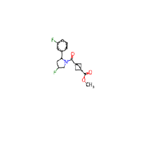 COC(=O)C12CC(C(=O)N3CC(F)CC3c3cccc(F)c3)(C1)C2